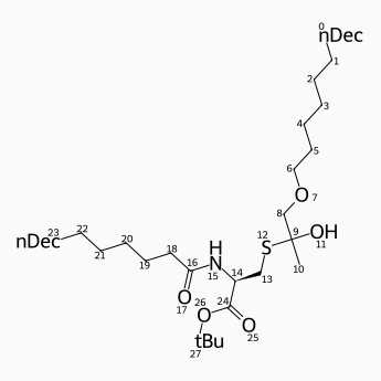 CCCCCCCCCCCCCCCCOCC(C)(O)SC[C@H](NC(=O)CCCCCCCCCCCCCCC)C(=O)OC(C)(C)C